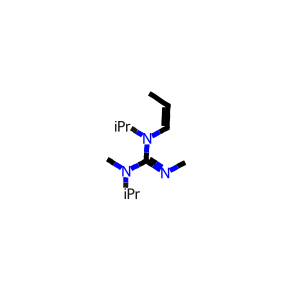 C/C=C\N(/C(=N\C)N(C)C(C)C)C(C)C